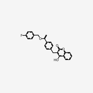 C=C(OCc1ccc(F)cc1)c1ccc(Cc2c(O)c3ccccc3oc2=O)cc1